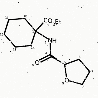 CCOC(=O)C1(NC(=O)[C@H]2CCCO2)CCCCC1